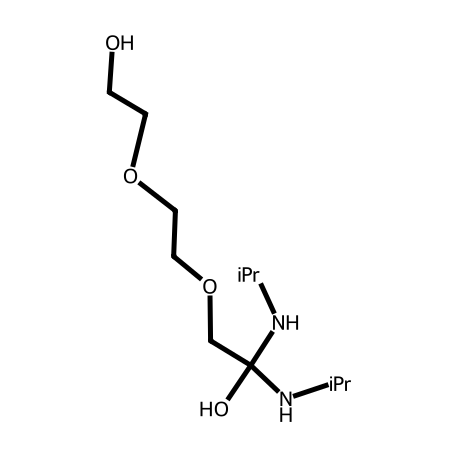 CC(C)NC(O)(COCCOCCO)NC(C)C